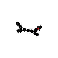 c1ccc2c(c1)ccc1c2c2cc(-c3nc4ccccc4s3)ccc2n1-c1ccc(-c2ccc(-c3ccc(-n4c5ccc(-c6nc7ccccc7s6)cc5c5c6ccccc6ccc54)cc3)cc2)cc1